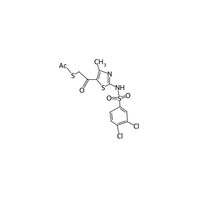 CC(=O)SCC(=O)c1sc(NS(=O)(=O)c2ccc(Cl)c(Cl)c2)nc1C